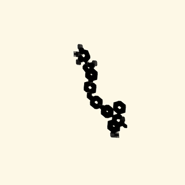 C[C@@H]1O[C@H](C2CCCCC2)[C@@H](c2ccc(N3CCC(CN4CCN(c5ccc6c(c5)CN([C@H]5CCC(=O)NC5=O)C6=O)CC4)CC3)cc2)c2ccc(O)cc21